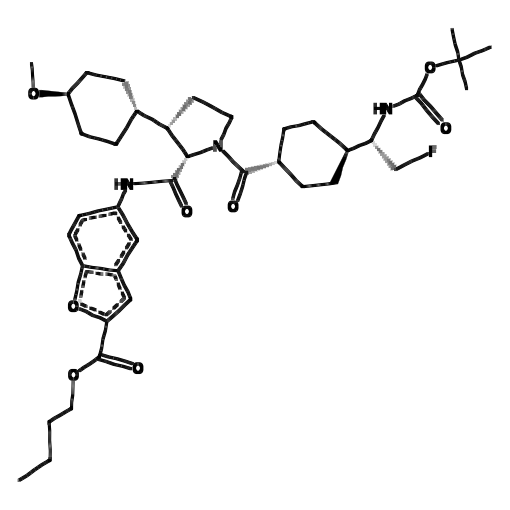 CCCCOC(=O)c1cc2cc(NC(=O)[C@@H]3[C@H]([C@H]4CC[C@H](OC)CC4)CCN3C(=O)[C@H]3CC[C@H]([C@@H](CF)NC(=O)OC(C)(C)C)CC3)ccc2o1